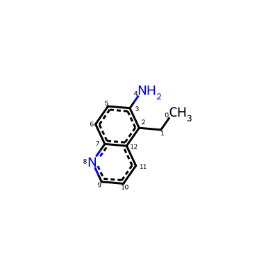 CCc1c(N)ccc2ncccc12